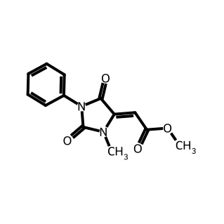 COC(=O)C=C1C(=O)N(c2ccccc2)C(=O)N1C